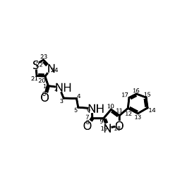 O=C(NCCCNC(=O)c1cc(-c2ccccc2)on1)c1cscn1